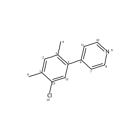 Cc1cc(C)c(-c2ccncc2)cc1Cl